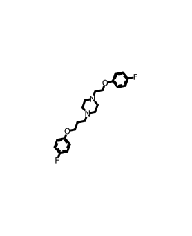 Fc1ccc(OCCCN2CCN(CCOc3ccc(F)cc3)CC2)cc1